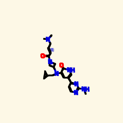 CNc1nccc(-c2c[nH]c(=O)c(N(CC3CC3)C3CN(C(=O)/C=C/CN(C)C)C3)c2)n1